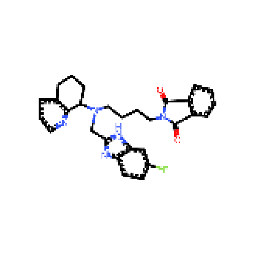 O=C1c2ccccc2C(=O)N1CCCCN(Cc1nc2ccc(F)cc2[nH]1)C1CCCc2cccnc21